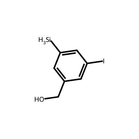 OCc1cc([SiH3])cc(I)c1